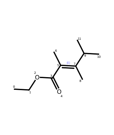 CCOC(=O)/C(C)=C(\C)C(C)C